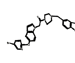 O=C(Cn1ccc2cc(Oc3ccc(Br)cn3)ccc21)N1CCN(Cc2ccc3c(c2)OCO3)CC1